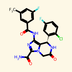 NC(=O)c1nc(NC(=O)c2cc(F)cc(C(F)(F)F)c2)c2n1CC(=O)N[C@H]2c1cc(F)ccc1Cl